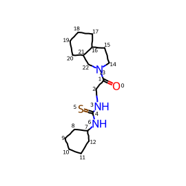 O=C(CNC(=S)NC1CCCCC1)N1CCC2CCCCC2C1